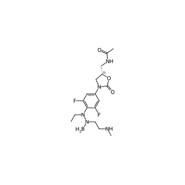 BN(CCNC)N(CC)c1c(F)cc(N2C[C@H](CNC(C)=O)OC2=O)cc1F